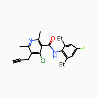 C#CCc1c(C)nc(C)c(C(=O)Nc2c(CC)cc(F)cc2CC)c1Cl